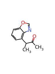 CC(=O)C(C)c1cccc2ocnc12